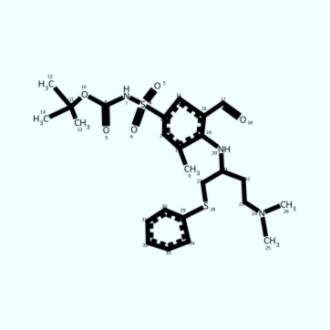 Cc1cc(S(=O)(=O)NC(=O)OC(C)(C)C)cc(C=O)c1NC(CCN(C)C)CSc1ccccc1